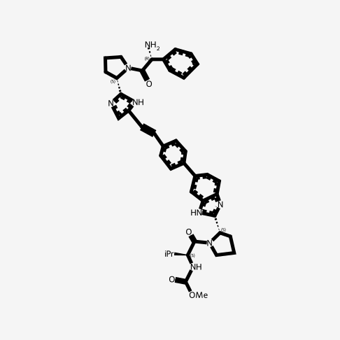 COC(=O)N[C@H](C(=O)N1CCC[C@H]1c1nc2ccc(-c3ccc(C#Cc4cnc([C@@H]5CCCN5C(=O)[C@H](N)c5ccccc5)[nH]4)cc3)cc2[nH]1)C(C)C